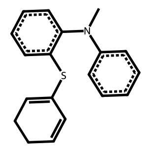 CN(c1ccccc1)c1ccccc1SC1=CCCC=C1